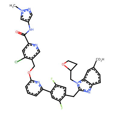 Cn1cc(NC(=O)c2cc(Cl)c(COc3cccc(-c4cc(F)c(Cc5nc6ccc(C(=O)O)cc6n5CC5CCO5)cc4F)n3)cn2)cn1